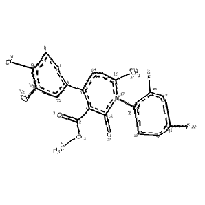 COC(=O)c1c(-c2ccc(Cl)c(Cl)c2)cc(C)n(-c2ccc(F)cc2F)c1=O